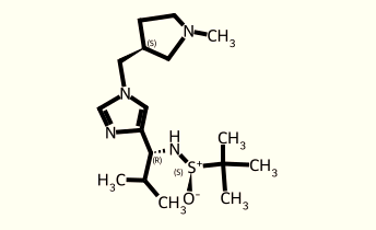 CC(C)[C@@H](N[S@+]([O-])C(C)(C)C)c1cn(C[C@H]2CCN(C)C2)cn1